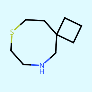 C1CC2(C1)CCSCCNC2